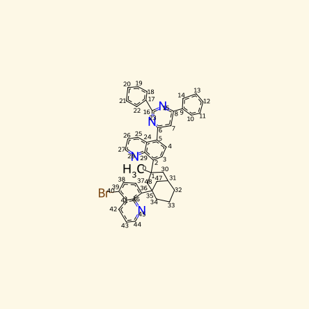 CC1(c2ccc(-c3cc(-c4ccccc4)nc(-c4ccccc4)n3)c3cccnc23)CC2CCCC(c3ccc(Br)c4cccnc34)(C2)C1